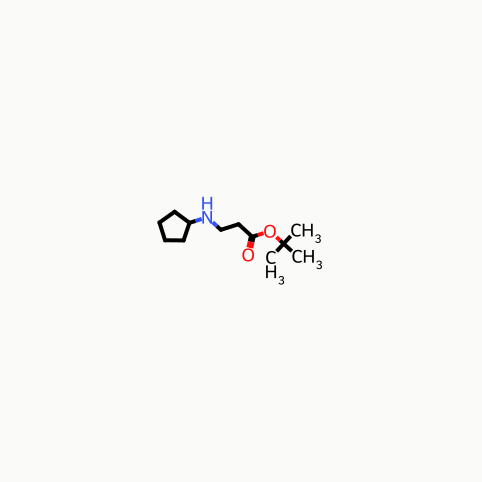 CC(C)(C)OC(=O)CCNC1CCCC1